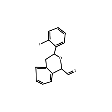 O=CC1OC(c2ccccc2F)Cc2ccccc21